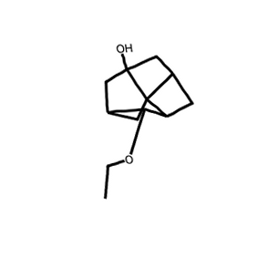 CCOC1C2CC3(O)CC4CC1C43C2